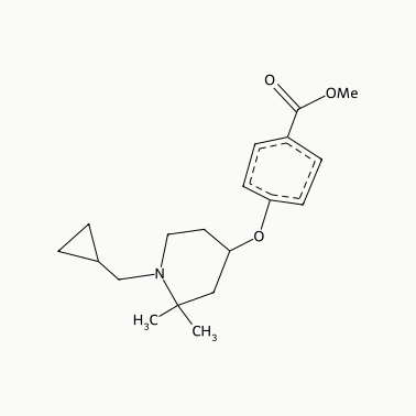 COC(=O)c1ccc(OC2CCN(CC3CC3)C(C)(C)C2)cc1